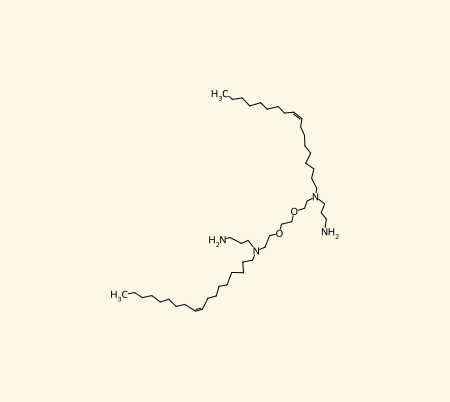 CCCCCCCC/C=C\CCCCCCCCN(CCCN)CCOCCOCCN(CCCN)CCCCCCCC/C=C\CCCCCCCC